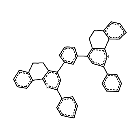 c1ccc(-c2cc(-c3cccc(-c4cc(-c5ccccc5)nc5c4CCc4ccccc4-5)c3)c3c(n2)-c2ccccc2CC3)cc1